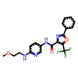 COCCNc1ccc(NC(=O)c2nc(-c3ccccc3)oc2C(F)(F)F)cn1